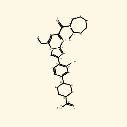 CCc1cc(C(=O)N2CCCCC[C@H]2C)nc2cc(-c3ccc(C4CCC(C(=O)O)CC4)cc3F)cn12